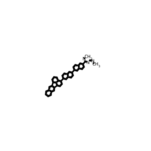 C=N/C(=N\C=N/C)c1ccc2cc(-c3ccc4cc(-c5ccc6c7c(cccc57)-c5cc7ccccc7cc5-6)ccc4c3)ccc2c1